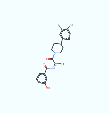 CC(C)[C@@H](NC(=O)c1cccc(O)c1)C(=O)N1CCC(c2ccc(Cl)c(Cl)c2)CC1